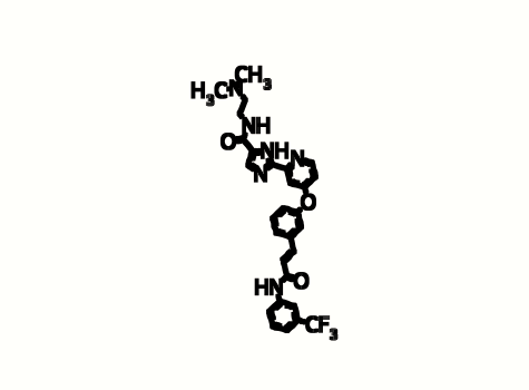 CN(C)CCNC(=O)c1cnc(-c2cc(Oc3cccc(/C=C/C(=O)Nc4cccc(C(F)(F)F)c4)c3)ccn2)[nH]1